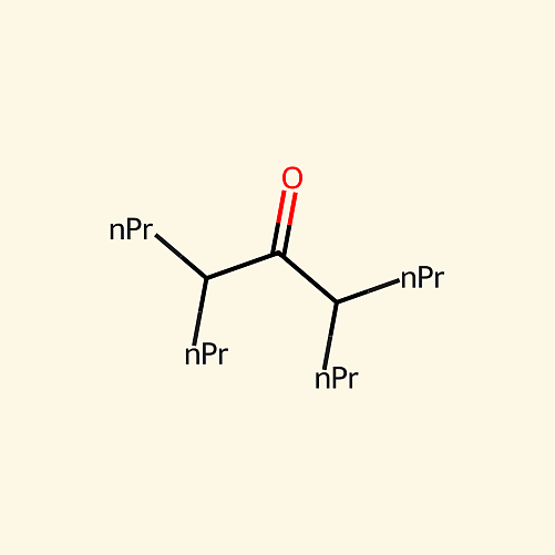 CCCC(CCC)C(=O)C(CCC)CCC